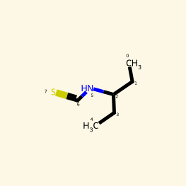 CCC(CC)NC=S